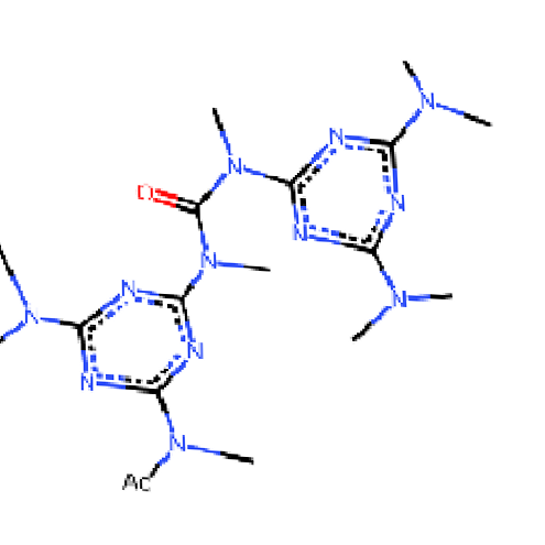 CC(=O)N(C)c1nc(N(C)C)nc(N(C)C(=O)N(C)c2nc(N(C)C)nc(N(C)C)n2)n1